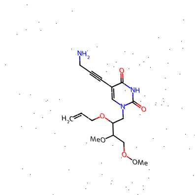 C=CCOC(Cn1cc(C#CCN)c(=O)[nH]c1=O)C(COOC)OC